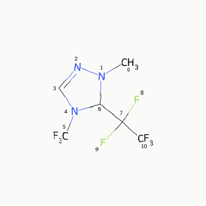 CN1N=CN(C(F)(F)F)C1C(F)(F)C(F)(F)F